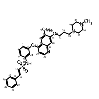 COc1cc2c(Oc3cccc(NS(=O)(=O)/C=C/c4ccccc4)c3)ccnc2cc1OCCCN1CCN(C)CC1